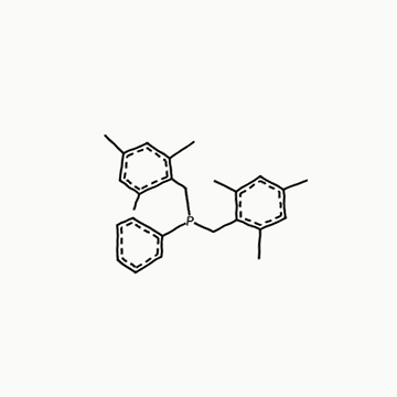 Cc1cc(C)c(CP(Cc2c(C)cc(C)cc2C)c2ccccc2)c(C)c1